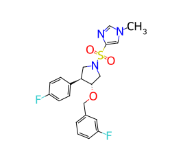 Cn1cnc(S(=O)(=O)N2C[C@H](OCc3cccc(F)c3)[C@@H](c3ccc(F)cc3)C2)c1